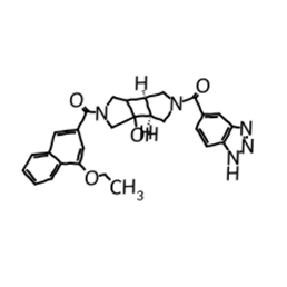 CCOc1cc(C(=O)N2CC3[C@H]4CN(C(=O)c5ccc6[nH]nnc6c5)C[C@H]4C3(O)C2)cc2ccccc12